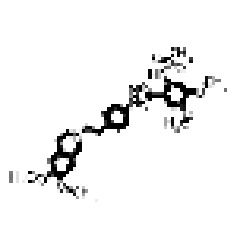 COc1cc2c(cc1OC)CN(CCc1ccc(-n3nnc(-c4cc(OC)c(OC)cc4NS(C)(=O)=O)n3)cc1)CC2